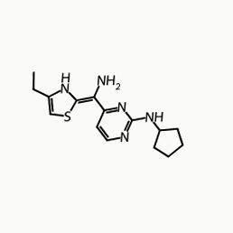 CCC1=CS/C(=C(/N)c2ccnc(NC3CCCC3)n2)N1